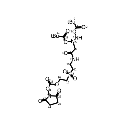 CC(C)(C)C(=O)ONN(CC(=O)NCCS(=O)(=O)CCOC(=O)ON1C(=O)CCC1=O)OC(=O)C(C)(C)C